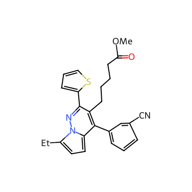 CCc1ccc2c(-c3cccc(C#N)c3)c(CCCCC(=O)OC)c(-c3cccs3)nn12